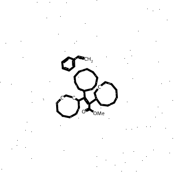 C=Cc1ccccc1.COC(=O)C(=C(C1CCCCCCCCC1)C1CCCCCCCCC1)C1CCCCCCCCC1